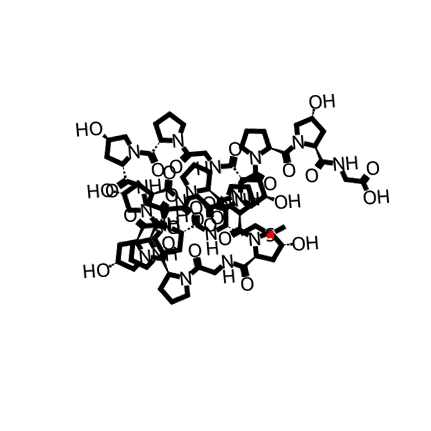 CSCC[C@H](NC(=O)[C@@H]1CCCN1C(=O)CNC(=O)[C@@H]1C[C@@H](O)CN1C(=O)[C@@H]1CCCN1C(=O)CNC(=O)[C@@H]1C[C@@H](O)CN1C(=O)[C@@H]1CCCN1C(=O)CNC(=O)[C@@H]1C[C@@H](O)CN1C(=O)[C@@H]1CCCN1C(=O)CNC(=O)[C@@H]1C[C@@H](O)CN1C(=O)[C@@H]1CCCN1C(=O)CNC(=O)[C@@H]1C[C@@H](O)CN1C(=O)[C@@H]1CCCN1)C(=O)NCC(=O)N1CCC[C@H]1C(=O)N1C[C@H](O)C[C@H]1C(=O)NCC(=O)O